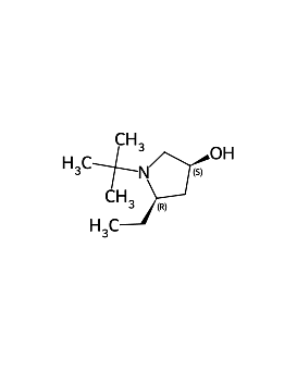 CC[C@@H]1C[C@H](O)CN1C(C)(C)C